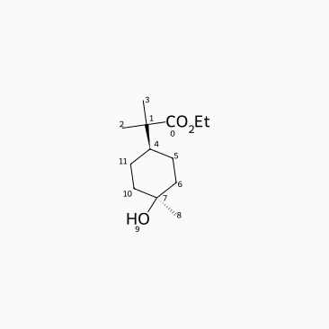 CCOC(=O)C(C)(C)[C@H]1CC[C@@](C)(O)CC1